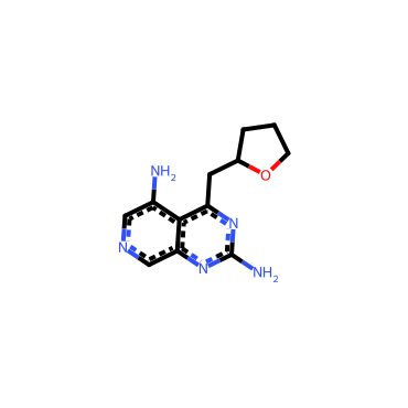 Nc1nc(CC2CCCO2)c2c(N)cncc2n1